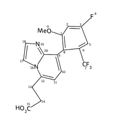 COc1cc(F)cc(C(F)(F)F)c1-c1ccc(CCC(=O)O)n2ccnc12